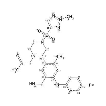 CC(=O)CN1CCN(S(=O)(=O)c2cnn(C)n2)C[C@@H]1c1cc(C=N)c(Nc2ccc(F)cc2)cc1C